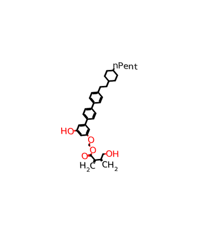 C=C(CO)C(=C)C(=O)OCOc1cc(O)cc(-c2ccc(-c3ccc(CCC4CCC(CCCCC)CC4)cc3)cc2)c1